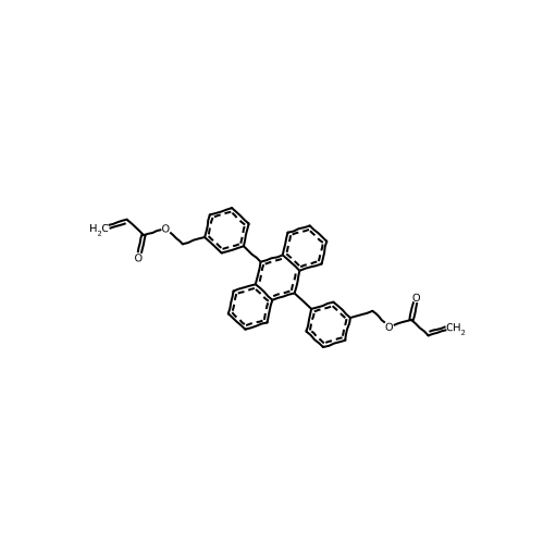 C=CC(=O)OCc1cccc(-c2c3ccccc3c(-c3cccc(COC(=O)C=C)c3)c3ccccc23)c1